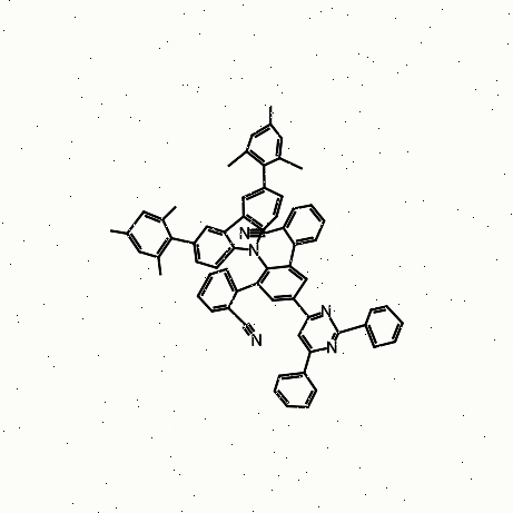 Cc1cc(C)c(-c2ccc3c(c2)c2cc(-c4c(C)cc(C)cc4C)ccc2n3-c2c(-c3ccccc3C#N)cc(-c3cc(-c4ccccc4)nc(-c4ccccc4)n3)cc2-c2ccccc2C#N)c(C)c1